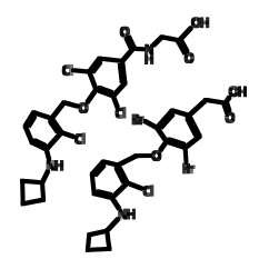 O=C(O)CNC(=O)c1cc(Cl)c(OCc2cccc(NC3CCC3)c2Cl)c(Cl)c1.O=C(O)Cc1cc(Br)c(OCc2cccc(NC3CCC3)c2Cl)c(Br)c1